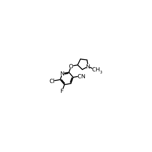 CN1CCC(Oc2nc(Cl)c(F)cc2C#N)C1